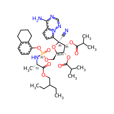 CCC(CC)COC(=O)[C@H](C)N[P@@](=O)(OC[C@H]1O[C@@](C#N)(c2ccc3c(N)ncnn23)[C@H](OC(=O)C(C)C)[C@@H]1OC(=O)C(C)C)Oc1cccc2c1CCCC2